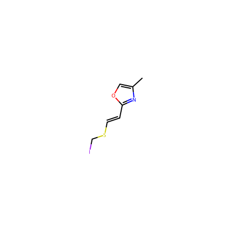 Cc1coc(C=CSCI)n1